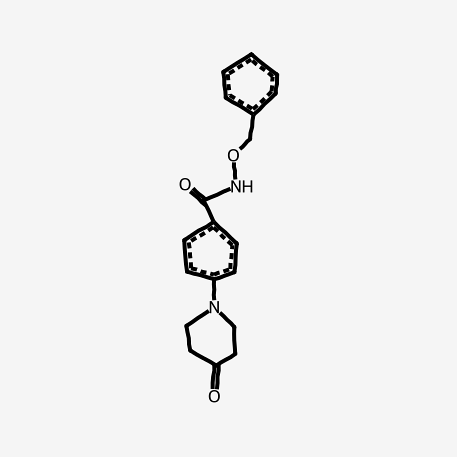 O=C1CCN(c2ccc(C(=O)NOCc3ccccc3)cc2)CC1